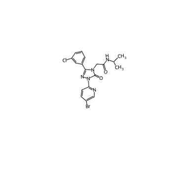 CC(C)NC(=O)Cn1c(-c2cccc(Cl)c2)nn(-c2ccc(Br)cn2)c1=O